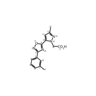 Cc1cccc(-c2noc(-c3cc(C)nn3CC(=O)O)n2)c1